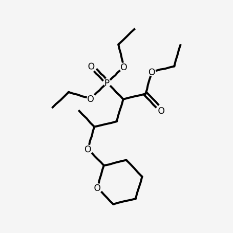 CCOC(=O)C(CC(C)OC1CCCCO1)P(=O)(OCC)OCC